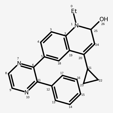 CCN1c2ccc(-c3nccnc3-c3ccccc3)cc2C(C2CC2)=CC1O